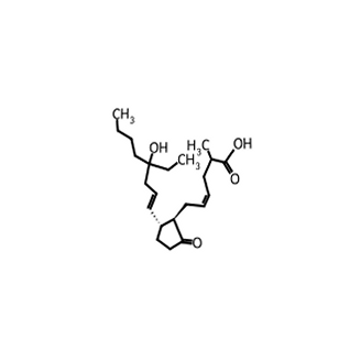 CCCCC(O)(CC)C/C=C/[C@H]1CCC(=O)[C@@H]1C/C=C\CC(C)C(=O)O